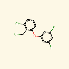 Fc1cc(F)cc(Oc2cccc(Cl)c2CCl)c1